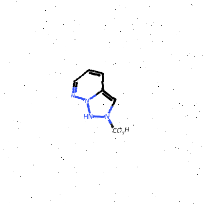 O=C(O)N1C=C2C=CC=NN2N1